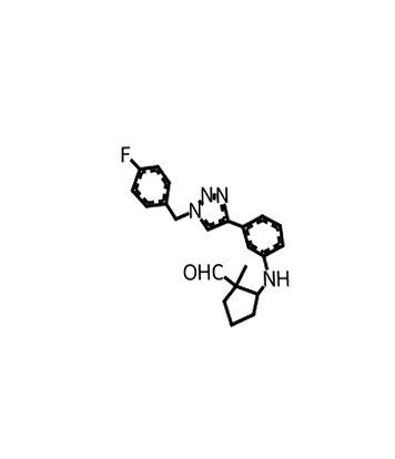 CC1(C=O)CCCC1Nc1cccc(-c2cn(Cc3ccc(F)cc3)nn2)c1